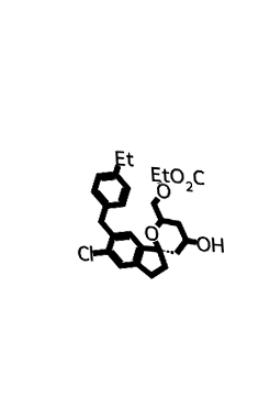 CCOC(=O)OCC1CC(O)C[C@@]2(CCc3cc(Cl)c(Cc4ccc(CC)cc4)cc32)O1